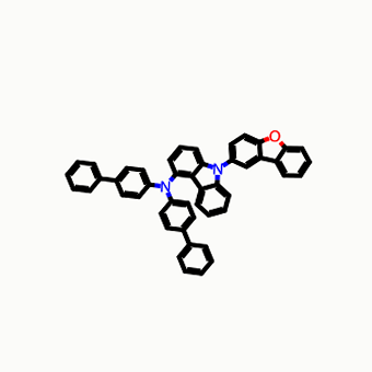 c1ccc(-c2ccc(N(c3ccc(-c4ccccc4)cc3)c3cccc4c3c3ccccc3n4-c3ccc4oc5ccccc5c4c3)cc2)cc1